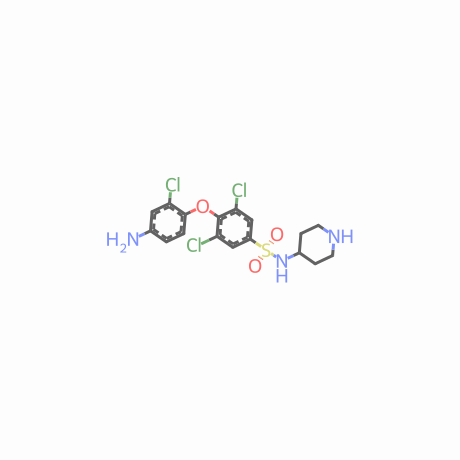 Nc1ccc(Oc2c(Cl)cc(S(=O)(=O)NC3CCNCC3)cc2Cl)c(Cl)c1